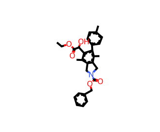 CCOC(=O)C(O)c1c(C)c2c(c(C)c1-c1ccc(C)cc1)CN(C(=O)OCc1ccccc1)C2